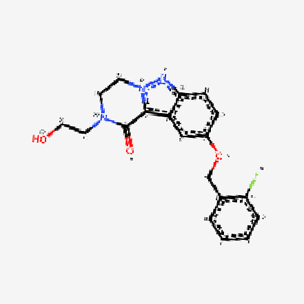 O=C1c2c3cc(OCc4ccccc4F)ccc3nn2CCN1CCO